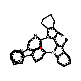 c1ccc(-c2ccc(-n3c4c(c5ccc6c7ccccc7n(-c7ccc(-c8ccccn8)cn7)c6c53)CCCC4)nc2)nc1